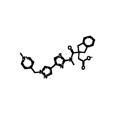 CN(C(=O)C1(CC(=O)[O-])Cc2ccccc2C1)c1nc(-c2cnn(Cc3cc[n+](C)cc3)c2)cs1